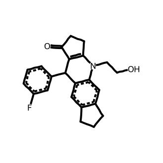 O=C1CCC2=C1C(c1cccc(F)c1)c1cc3c(cc1N2CCO)CCC3